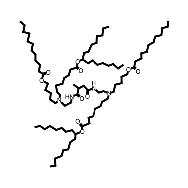 CCCCCCCCCCCC(=O)OCCCCCN(CCCCCCCC(=O)OC(CCCCCCCC)CCCCCCCC)CCNC(=O)CC(C)C(=O)NCCN(CCCCCCCC(=O)OC(CCCCCCCC)CCCCCCCC)CCCCCOC(=O)CCCCCCCCCCC